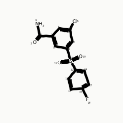 NC(=O)c1cc(Cl)cc(S(=O)(=O)c2ccc(F)cc2)c1